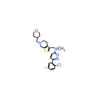 CN(Cc1csc2c1CCN(CC1CCOCC1)C2)c1ccc(-c2cc(F)ccc2Cl)nn1